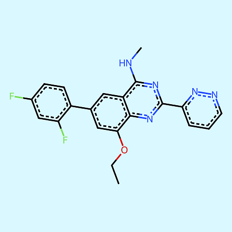 CCOc1cc(-c2ccc(F)cc2F)cc2c(NC)nc(-c3cccnn3)nc12